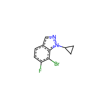 Fc1ccc2cnn(C3CC3)c2c1Br